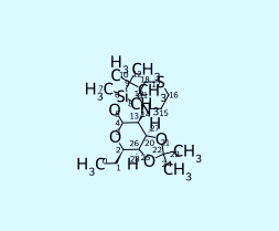 CC[C@H]1OC(O[Si](C)(C)C(C)(C)C)[C@@H](N2CCSCC2)[C@H]2OC(C)(C)O[C@H]21